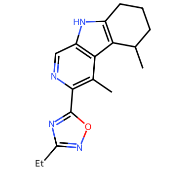 CCc1noc(-c2ncc3[nH]c4c(c3c2C)C(C)CCC4)n1